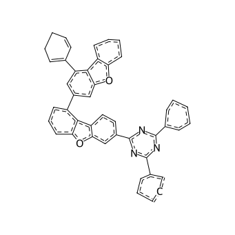 C1=CC(c2cc(-c3cccc4oc5cc(-c6nc(-c7ccccc7)nc(-c7ccccc7)n6)ccc5c34)cc3oc4ccccc4c23)=CCC1